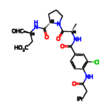 CC(C)CC(=O)Nc1ccc(C(=O)N[C@@H](C)C(=O)N2CCC[C@H]2C(=O)N[C@H](C=O)CC(=O)O)cc1Cl